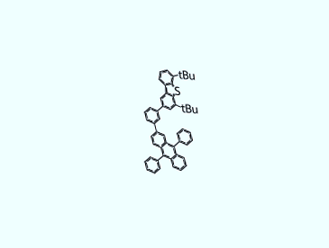 CC(C)(C)c1cccc2c1sc1c(C(C)(C)C)cc(-c3cccc(-c4ccc5c(-c6ccccc6)c6ccccc6c(-c6ccccc6)c5c4)c3)cc12